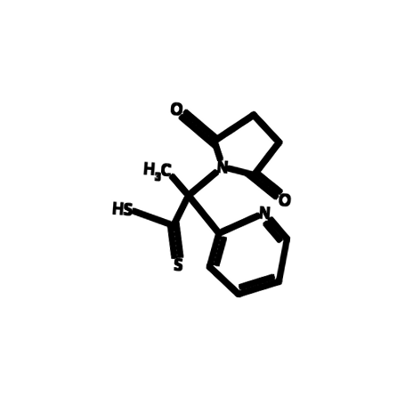 CC(C(=S)S)(c1ccccn1)N1C(=O)CCC1=O